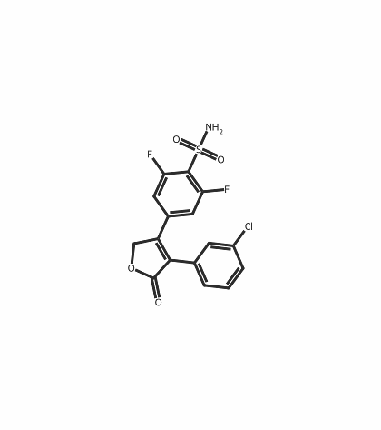 NS(=O)(=O)c1c(F)cc(C2=C(c3cccc(Cl)c3)C(=O)OC2)cc1F